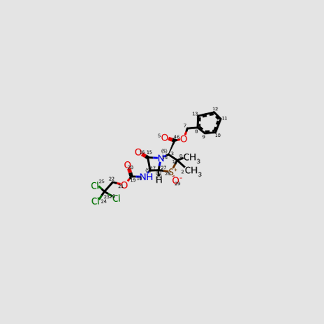 CC1(C)[C@H](C(=O)OCc2ccccc2)N2C(=O)[C@H](NC(=O)OCC(Cl)(Cl)Cl)[C@H]2[S+]1[O-]